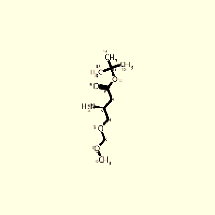 COCOC[C@@H](N)CC(=O)OC(C)(C)C